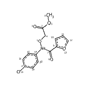 COC(=O)CON(C(=O)c1ccco1)c1ccc(Cl)cc1